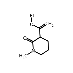 C=C(OCC)C1CCCN(C)C1=O